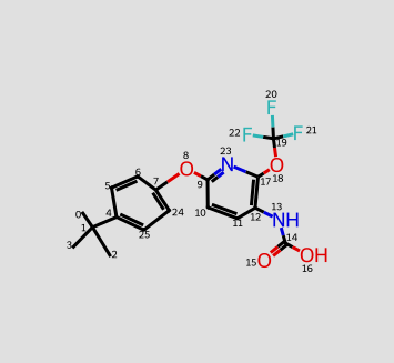 CC(C)(C)c1ccc(Oc2ccc(NC(=O)O)c(OC(F)(F)F)n2)cc1